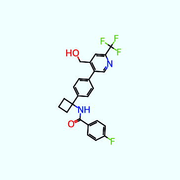 O=C(NC1(c2ccc(-c3cnc(C(F)(F)F)cc3CO)cc2)CCC1)c1ccc(F)cc1